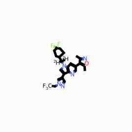 [2H]C([2H])(C1CCC(F)(F)CC1)n1cc(-c2cnn(CC(F)(F)F)c2)c2ncc(-c3c(C)noc3C)cc21